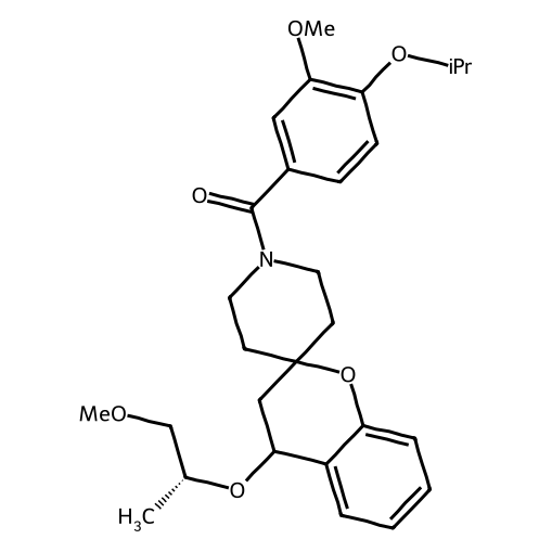 COC[C@@H](C)OC1CC2(CCN(C(=O)c3ccc(OC(C)C)c(OC)c3)CC2)Oc2ccccc21